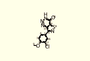 COc1ccc(-c2nsc3c(=O)[nH]nnc23)cc1Cl